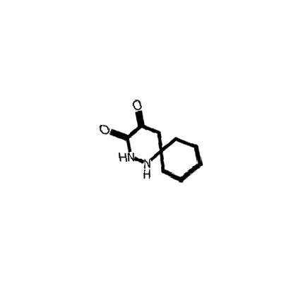 O=C1CC2(CCCCC2)NNC1=O